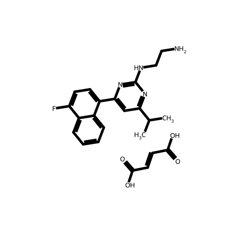 CC(C)c1cc(-c2ccc(F)c3ccccc23)nc(NCCN)n1.O=C(O)C=CC(=O)O